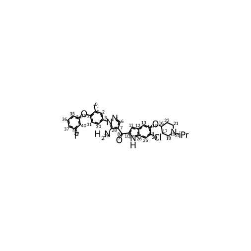 Cc1cc(-n2ncc(C(=O)c3cc4cc(OC5CCN(C(C)C)CC5)c(Cl)cc4[nH]3)c2N)ccc1Oc1cccc(F)c1